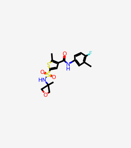 Cc1cc(NC(=O)c2cc(S(=O)(=O)NC3(C)COC3)sc2C)ccc1F